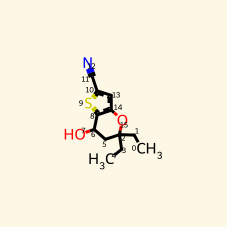 CCC1(CC)CC(O)c2sc(C#N)cc2O1